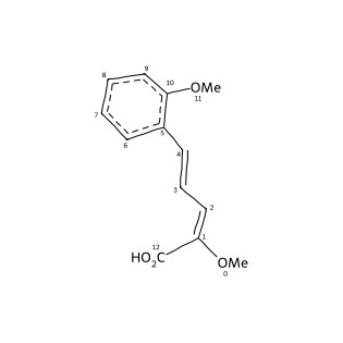 COC(=CC=Cc1ccccc1OC)C(=O)O